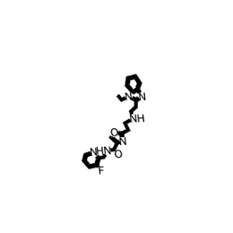 CCn1c(CCNCCc2nc(C(=O)NCc3ncccc3F)co2)nc2ccccc21